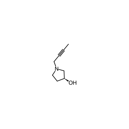 CC#CCN1CC[C@H](O)C1